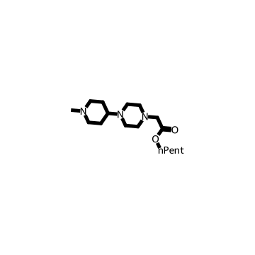 CCCCCOC(=O)CN1CCN(C2CCN(C)CC2)CC1